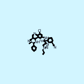 [2H][C@](Nc1cc(Cl)c2ncc(C#N)c(N[C@H](CC)c3ccccc3)c2c1)(c1cccc(C#N)c1)c1cn(CC=C)nn1